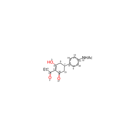 CCC(=O)C1=C(O)CC(c2ccc(NC(C)=O)cc2)CC1=O